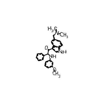 COc1cccc(NC(C(=O)c2c[nH]c3ccc(CN(C)C)cc23)c2ccccc2)c1